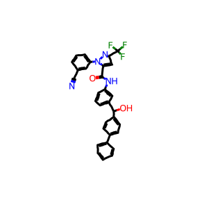 N#Cc1cccc(-n2nc(C(F)(F)F)cc2C(=O)Nc2cccc(C(O)c3ccc(-c4ccccc4)cc3)c2)c1